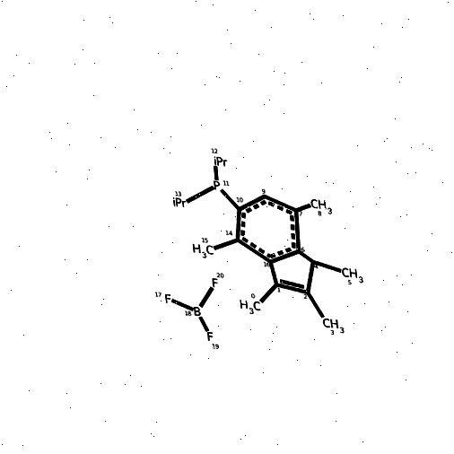 CC1=C(C)C(C)c2c(C)cc(P(C(C)C)C(C)C)c(C)c21.FB(F)F